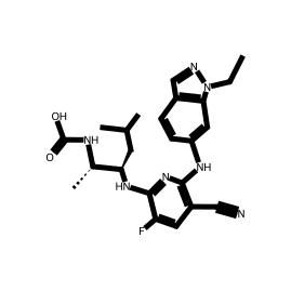 CCn1ncc2ccc(Nc3nc(N[C@H](CC(C)C)[C@H](C)NC(=O)O)c(F)cc3C#N)cc21